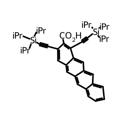 CC(C)[Si](C#Cc1cc2cc3cc4ccccc4cc3cc2c(C#C[Si](C(C)C)(C(C)C)C(C)C)c1C(=O)O)(C(C)C)C(C)C